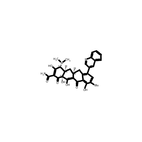 CN(C)[C@H]1C(O)=C(C(N)=O)C(=O)[C@]2(O)C(O)=C3C(=O)c4c(O)c(C(C)(C)C)cc(-c5cnc6ccccc6c5)c4C[C@@H]3C[C@H]12